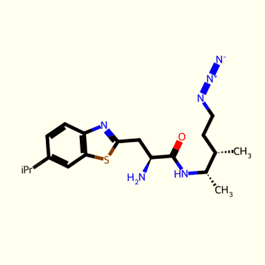 CC(C)c1ccc2nc(C[C@H](N)C(=O)N[C@@H](C)[C@@H](C)CCN=[N+]=[N-])sc2c1